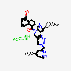 COc1ccc(N(Cc2cnn(Cc3cc(C)ccn3)c2)C(=O)C2CCCc3c(O)cccc32)cn1.Cl.Cl